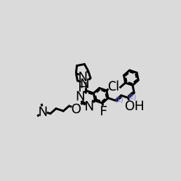 Cc1ccccc1/C=C(O)\C=C\c1c(Cl)cc2c(N3CC4CCC(C3)N4)nc(OCCCCN(C)C)nc2c1F